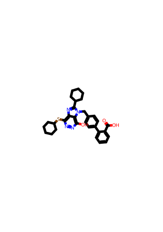 O=C(O)c1ccccc1-c1ccc(Cn2c(C3CCCCC3)nc3c(SC4CCCCC4)nnc(O)c32)cc1